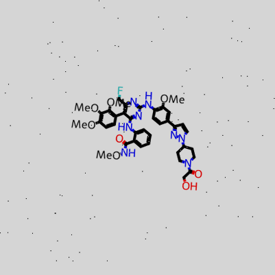 CONC(=O)c1ccccc1Nc1nc(Nc2ccc(-c3ccn(C4CCN(C(=O)CO)CC4)n3)cc2OC)nc(CF)c1-c1ccc(OC)c(OC)c1OC